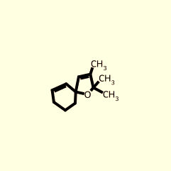 CC1=CC2(C=CCCC2)OC1(C)C